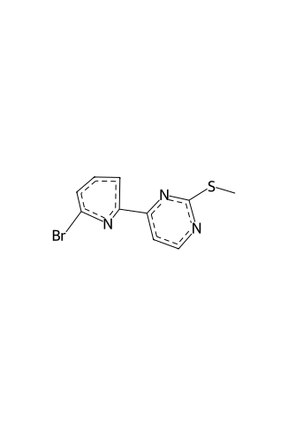 CSc1nccc(-c2cccc(Br)n2)n1